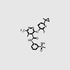 Cc1c(C(F)(F)F)nnc(Oc2ccc(C3(C)CC3)nc2F)c1C(=O)Nc1cccc(S(C)(=N)=O)c1